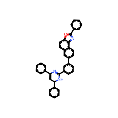 C1=C(c2ccccc2)N=C(c2cccc(-c3ccc4c(ccc5oc(-c6ccccc6)nc54)c3)c2)NC1c1ccccc1